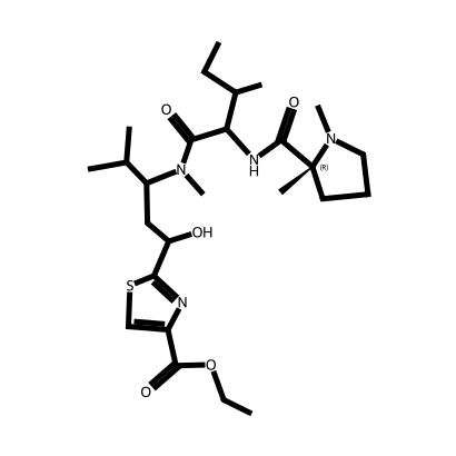 CCOC(=O)c1csc(C(O)CC(C(C)C)N(C)C(=O)C(NC(=O)[C@@]2(C)CCCN2C)C(C)CC)n1